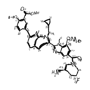 COC(=O)c1cc(-c2ccc3cc(-c4nc5cc(C(=O)N6C[C@H](N)C[C@@H](F)C6)cc(OC)c5n4C)n(CC4CC4)c3n2)ccc1O